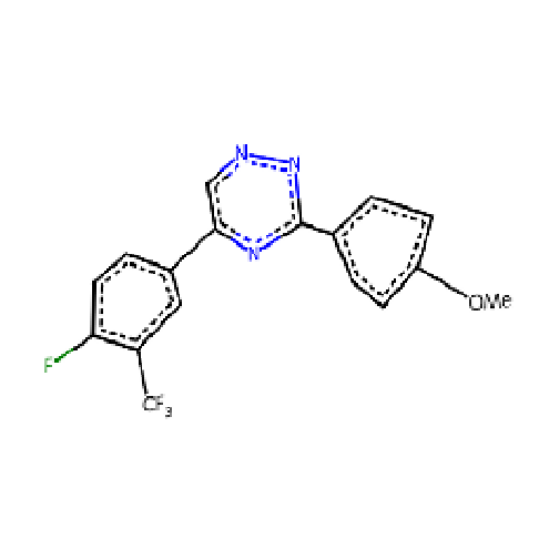 COc1ccc(-c2nncc(-c3ccc(F)c(C(F)(F)F)c3)n2)cc1